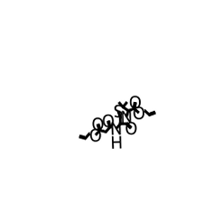 C=CCOC(=O)CC(=O)NC1C(=O)N2C1SC(C)(C)C2C(=O)OCC=C